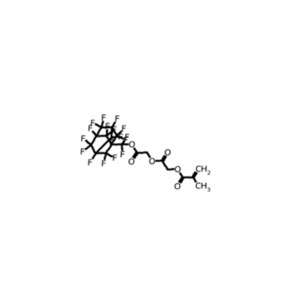 C=C(C)C(=O)OCC(=O)OCC(=O)OC(F)(F)C12C(F)(F)C3(F)C(F)(F)C(F)(C(F)(F)C(F)(C3(F)F)C1(F)F)C2(F)F